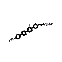 CCCC1CCC(c2ccc(-c3ccc(C4CCC(CCCOC)CC4)c(F)c3)cc2)CC1